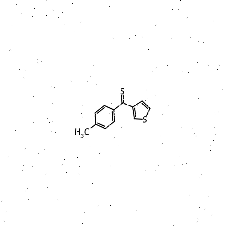 Cc1ccc(C(=S)c2ccsc2)cc1